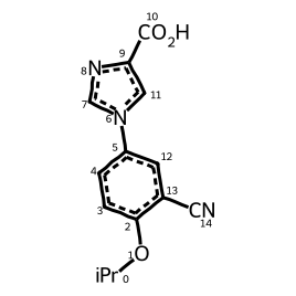 CC(C)Oc1ccc(-n2cnc(C(=O)O)c2)cc1C#N